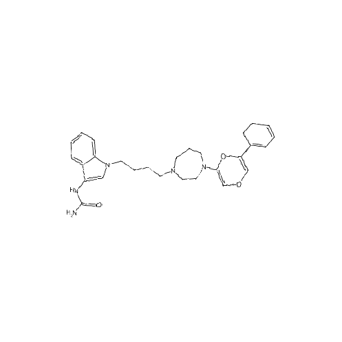 NC(=O)Nc1cn(CCCCN2CCCN(C3=COC=C(C4=CC=CCC4)O3)CC2)c2ccccc12